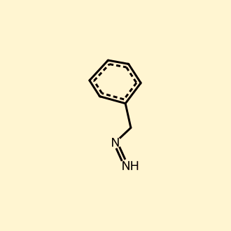 N=NCc1ccccc1